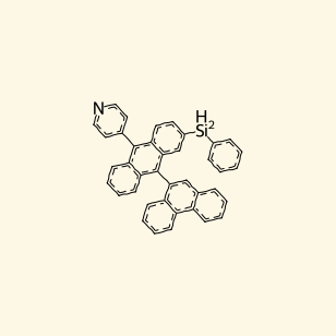 c1ccc([SiH2]c2ccc3c(-c4ccncc4)c4ccccc4c(-c4cc5ccccc5c5ccccc45)c3c2)cc1